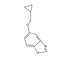 c1nc2cc(OCC3CC3)ccc2o1